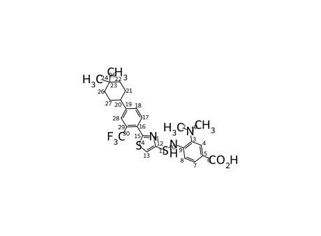 CN(C)c1cc(C(=O)O)ccc1NSc1csc(-c2ccc(C3CCC(C)(C)CC3)cc2C(F)(F)F)n1